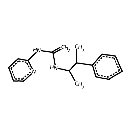 C=C(Nc1ccccn1)NC(C)C(C)c1ccccc1